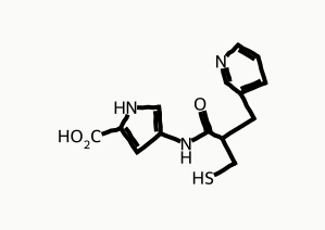 O=C(O)c1cc(NC(=O)C(CS)Cc2cccnc2)c[nH]1